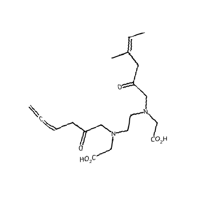 C=C=CCC(=O)CN(CCN(CC(=O)O)CC(=O)C/C(C)=C\C)CC(=O)O